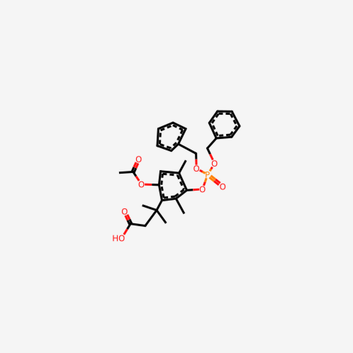 CC(=O)Oc1cc(C)c(OP(=O)(OCc2ccccc2)OCc2ccccc2)c(C)c1C(C)(C)CC(=O)O